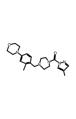 Cc1cnn(C(=O)N2CCN(Cc3ccc(N4CCOCC4)cc3C)CC2)c1